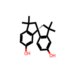 CC1(C)C[C@]2(CC(C)(C)c3ccc(O)cc32)c2ccc(O)cc21